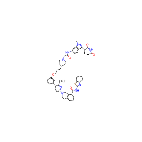 Cn1nc(C2CCC(=O)NC2=O)c2ccc(NC(=O)CN3CCC(CCCOc4cccc(-c5ccc(N6CCc7cccc(C(=O)Nc8nc9ccccc9s8)c7C6)nc5C(=O)O)c4)CC3)cc21